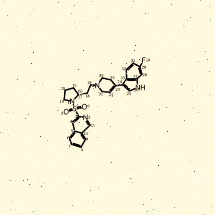 O=S(=O)(c1cc2ccccc2cn1)N1CCC[C@H]1CCN1CC=C(c2c[nH]c3cc(F)ccc23)CC1